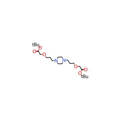 CC(C)(C)OC(=O)COCCCN1CCN(CCCOCC(=O)OC(C)(C)C)CC1